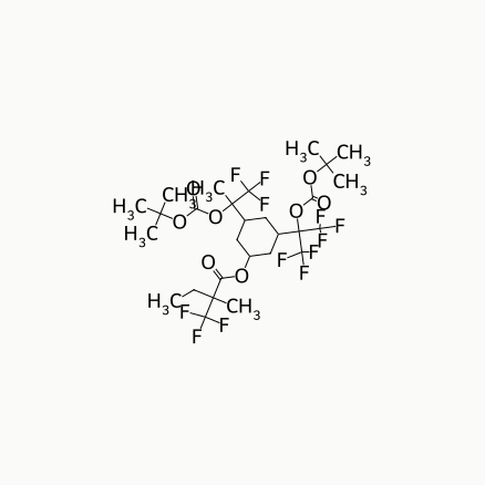 CCC(C)(C(=O)OC1CC(C(C)(OC(=O)OC(C)(C)C)C(F)(F)F)CC(C(OC(=O)OC(C)(C)C)(C(F)(F)F)C(F)(F)F)C1)C(F)(F)F